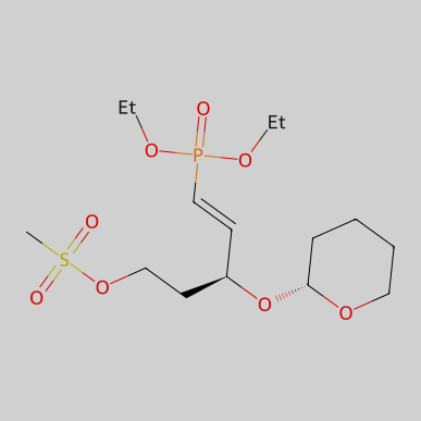 CCOP(=O)(/C=C/[C@H](CCOS(C)(=O)=O)O[C@@H]1CCCCO1)OCC